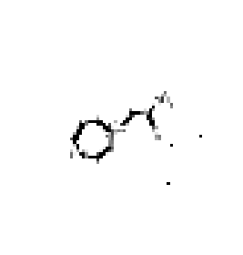 C1=CC=CNC=C1.C=CC(N)=O